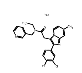 CCN(Cc1cccnc1)C(=O)Cc1c(-c2ccc(Cl)c(Cl)c2)nc2cc(C)ccn12.Cl